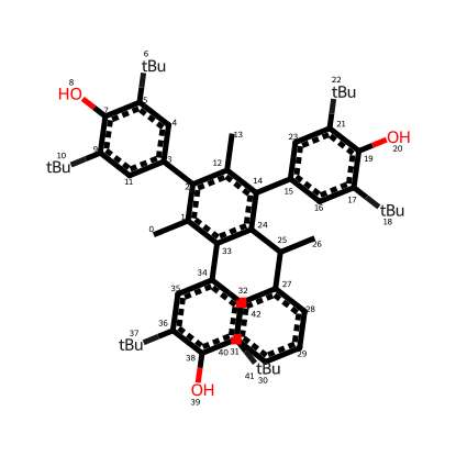 Cc1c(-c2cc(C(C)(C)C)c(O)c(C(C)(C)C)c2)c(C)c(-c2cc(C(C)(C)C)c(O)c(C(C)(C)C)c2)c(C(C)c2ccccc2)c1-c1cc(C(C)(C)C)c(O)c(C(C)(C)C)c1